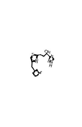 OC(CCc1nc(Cc2cccc(F)c2)cs1)c1nc[nH]n1